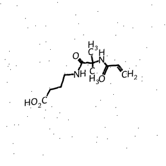 C=CC(=O)NC(C)(C)C(=O)NCCCC(=O)O